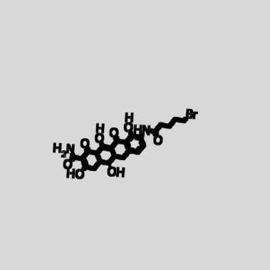 NC(=O)C1=C(O)CC2C(C1=O)C(O)=C1C(=O)c3c(ccc(NC(=O)CCCCBr)c3O)CC1[C@@H]2O